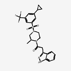 CC1CN(S(=O)(=O)c2cc(C3CC3)cc(C(F)(F)F)c2)CCN1C(=O)Cc1n[nH]c2ccccc12